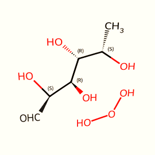 C[C@H](O)[C@@H](O)[C@@H](O)[C@H](O)C=O.OOO